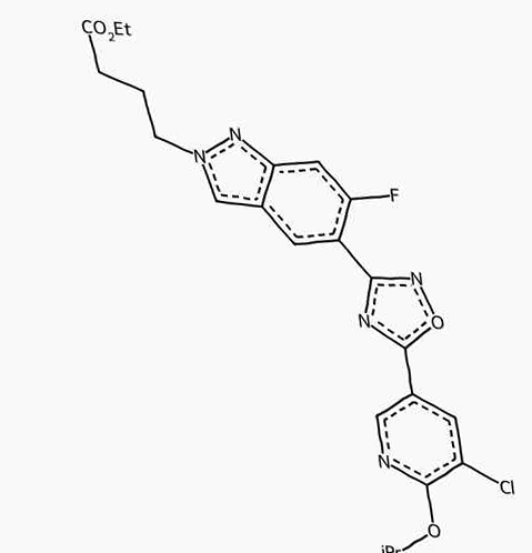 CCOC(=O)CCCn1cc2cc(-c3noc(-c4cnc(OC(C)C)c(Cl)c4)n3)c(F)cc2n1